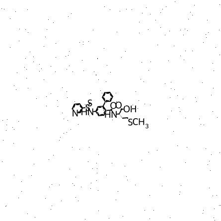 CSCC[C@H](NC(=O)c1ccc(NS(=S)c2cccnc2)cc1-c1ccccc1)C(=O)O